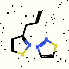 C=CCc1ccsn1.c1csnn1